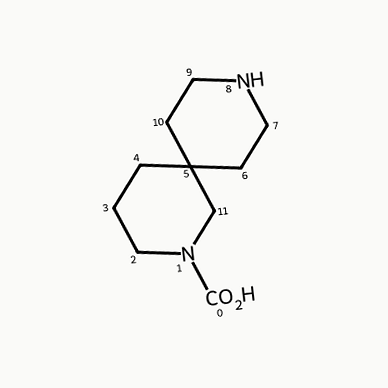 O=C(O)N1CCCC2(CCNCC2)C1